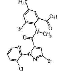 Cc1cc(Br)c(N(C)C(=O)c2cc(Br)nn2-c2ncccc2Cl)c(C(=O)O)c1